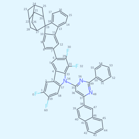 Fc1cc2c3cc(-c4ccc5c(c4)-c4ccccc4C54C5CC6CC(C5)CC4C6)c(F)c(F)c3n(-c3cc(-c4ccc5ccccc5c4)nc(-c4ccccc4)n3)c2cc1F